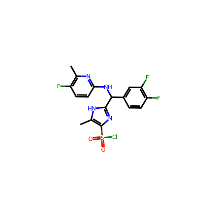 Cc1nc(NC(c2ccc(F)c(F)c2)c2nc(S(=O)(=O)Cl)c(C)[nH]2)ccc1F